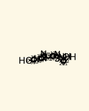 OC1CCN(c2ccn3c(Cc4ccc5nc(NC6CCCCC6O)sc5c4)cnc3c2)CC1